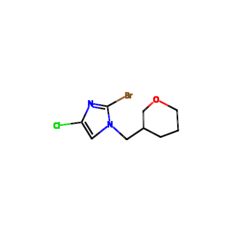 Clc1cn(CC2CCCOC2)c(Br)n1